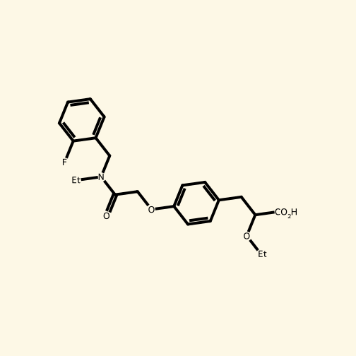 CCOC(Cc1ccc(OCC(=O)N(CC)Cc2ccccc2F)cc1)C(=O)O